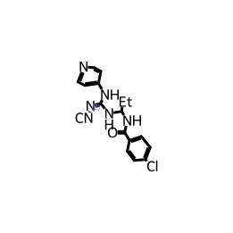 CCC(NC(=O)c1ccc(Cl)cc1)N/C(=N\C#N)Nc1ccncc1